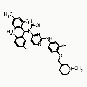 Cc1cc(C)c(C(c2cc(F)ccc2F)N(C(=O)O)c2ccnc(Nc3ccc(OCC4CCCN(C)C4)c(F)c3)n2)c(C)c1